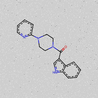 O=C(c1c[nH]c2ccccc12)N1CCN(c2ccccn2)CC1